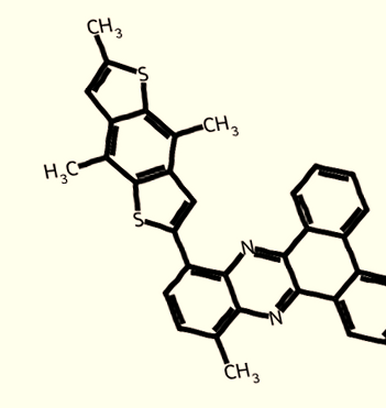 Cc1cc2c(C)c3sc(-c4ccc(C)c5nc6c7ccccc7c7ccccc7c6nc45)cc3c(C)c2s1